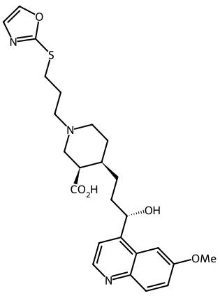 COc1ccc2nccc([C@@H](O)CC[C@@H]3CCN(CCCSc4ncco4)C[C@@H]3C(=O)O)c2c1